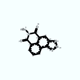 CCCCN1C(=O)c2cccc3c2c(cc2nnsc23)C1=O